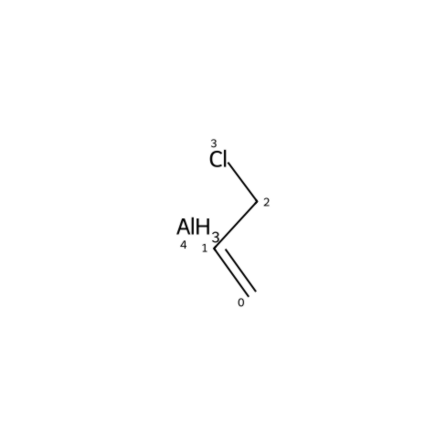 C=CCCl.[AlH3]